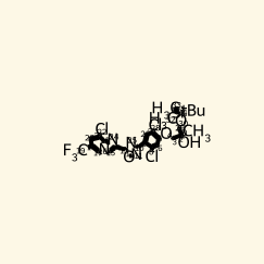 CC(O)(COc1cc(Cl)c(-c2noc(-c3cn4cc(C(F)(F)F)cc(Cl)c4n3)n2)cc1Cl)CO[Si](C)(C)C(C)(C)C